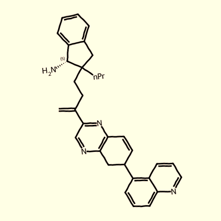 C=C(CCC1(CCC)Cc2ccccc2[C@H]1N)c1cnc2c(n1)C=CC(c1cccc3ncccc13)C2